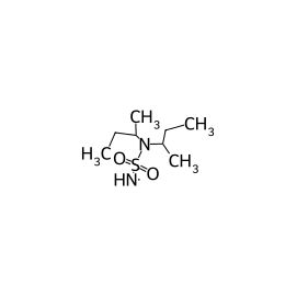 CCC(C)N(C(C)CC)S([NH])(=O)=O